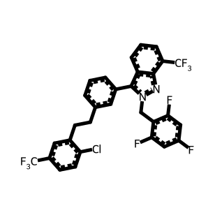 Fc1cc(F)c(Cn2nc3c(C(F)(F)F)cccc3c2-c2cccc(CCc3cc(C(F)(F)F)ccc3Cl)c2)c(F)c1